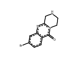 O=c1c2ccc(Br)cc2nc2n1CCNC2